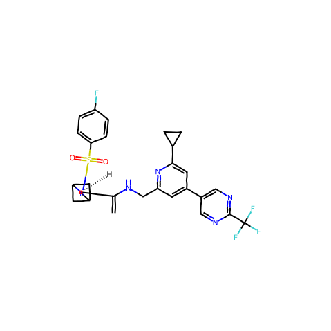 C=C(NCc1cc(-c2cnc(C(F)(F)F)nc2)cc(C2CC2)n1)[C@@H]1C2CC(C2)N1S(=O)(=O)c1ccc(F)cc1